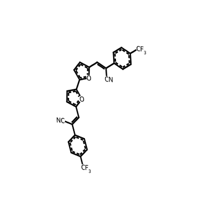 N#C/C(=C\c1ccc(-c2ccc(/C=C(\C#N)c3ccc(C(F)(F)F)cc3)o2)o1)c1ccc(C(F)(F)F)cc1